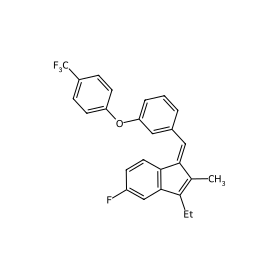 CCC1=C(C)/C(=C/c2cccc(Oc3ccc(C(F)(F)F)cc3)c2)c2ccc(F)cc21